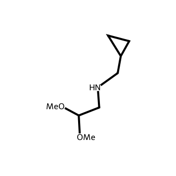 COC(CNCC1CC1)OC